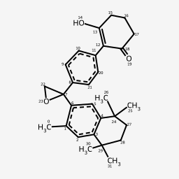 Cc1cc2c(cc1C1(c3ccc(C4=C(O)CCCC4=O)cc3)CO1)C(C)(C)CCC2(C)C